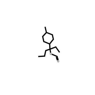 CCCC(CC)(O[C]=O)C1CCC(C)CC1